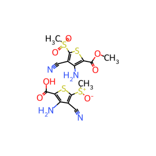 COC(=O)c1sc(S(C)(=O)=O)c(C#N)c1N.C[S+]([O-])c1sc(C(=O)O)c(N)c1C#N